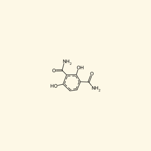 NC(=O)c1ccc(O)c(C(N)=O)c1O